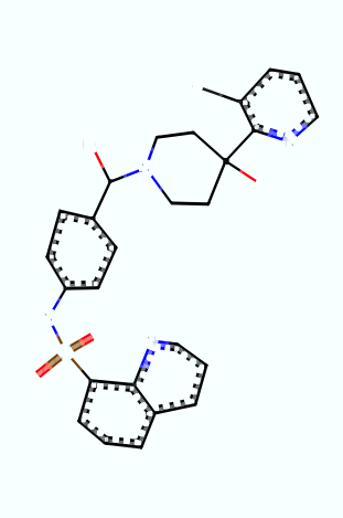 O=S(=O)(Nc1ccc(C(O)N2CCC(O)(c3ncccc3C(F)(F)F)CC2)cc1)c1cccc2cccnc12